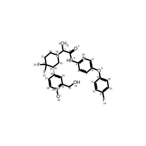 CC(C(=O)Nc1ccc(Oc2ccc(F)cc2)cn1)N1CCC(F)(F)[C@@H](c2cc[n+]([O-])c(CO)c2)C1